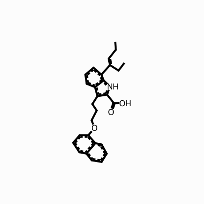 CC/C=C(\CC)c1cccc2c(CCCOc3cccc4ccccc34)c(C(=O)O)[nH]c12